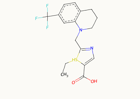 CC[SH]1C(C(=O)O)=CN=C1CN1CCCc2ccc(C(F)(F)F)cc21